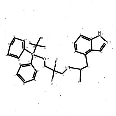 CC(Cc1cccc2[nH]ncc12)NCC(F)(F)CO[Si](c1ccccc1)(c1ccccc1)C(C)(C)C